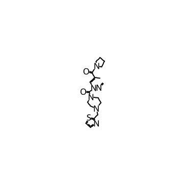 C=NN(/C=C(\C)C(=O)N1CCCC1)C(=O)N1CCN(Cc2nccs2)CC1